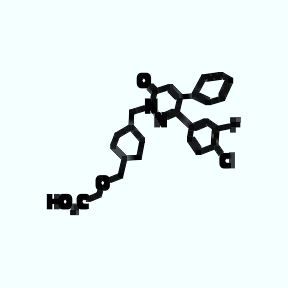 O=C(O)COCC1CCC(Cn2nc(-c3ccc(Cl)c(F)c3)c(-c3ccccc3)cc2=O)CC1